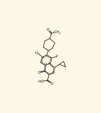 CC(=O)N1CCN(c2c(Cl)cc3c(=O)c(C(=O)O)cn(C4CC4)c3c2F)CC1